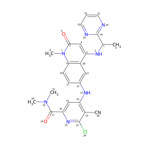 CC(Nc1cc(=O)n(C)c2ccc(Nc3cc(C(=O)N(C)C)nc(Cl)c3C#N)cc12)c1ncccn1